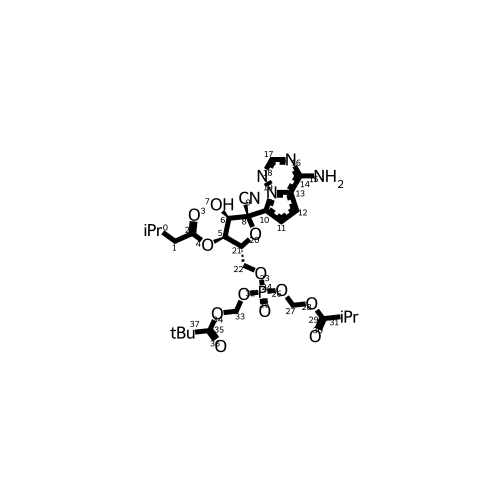 CC(C)CC(=O)O[C@H]1[C@@H](O)[C@](C#N)(c2ccc3c(N)ncnn23)O[C@@H]1COP(=O)(OCOC(=O)C(C)C)OCOC(=O)C(C)(C)C